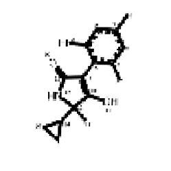 CCc1cc(C)cc(C)c1C1=C(O)C(C)(C2CC2)NC1=O